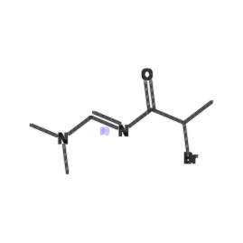 CC(Br)C(=O)/N=C/N(C)C